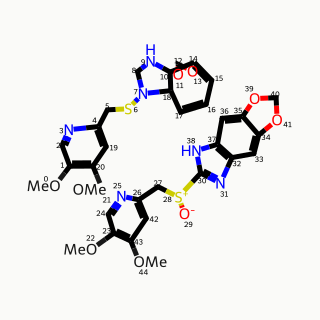 COc1cnc(CSN2CNC34OCOC3=CC=CC24)cc1OC.COc1cnc(C[S+]([O-])c2nc3cc4c(cc3[nH]2)OCO4)cc1OC